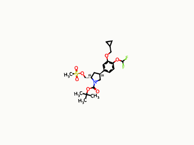 CC(C)(C)OC(=O)N1C[C@H](c2ccc(OC(F)F)c(OCC3CC3)c2)C[C@H]1COS(C)(=O)=O